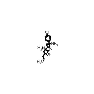 BCCCCC(N)(C(=O)O)C1CC(N)(c2ccc(Cl)cc2)C1